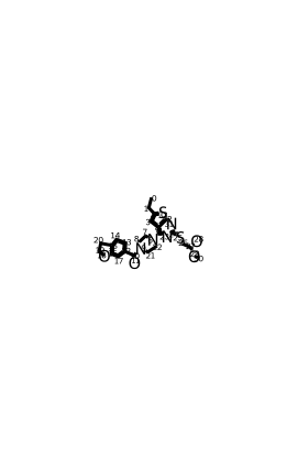 CCc1cc2c(N3CCN(C(=O)c4ccc5c(c4)OCC5)CC3)nc(SCC(=O)OC)nc2s1